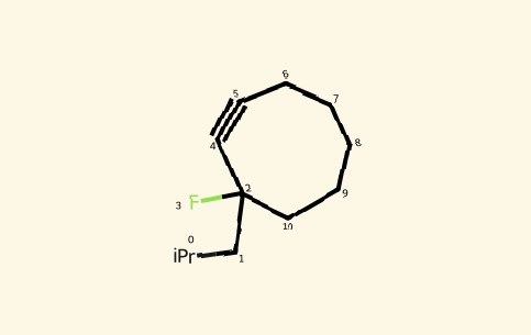 CC(C)CC1(F)C#CCCCCC1